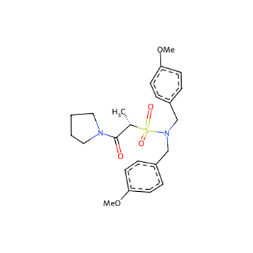 COc1ccc(CN(Cc2ccc(OC)cc2)S(=O)(=O)[C@@H](C)C(=O)N2CCCC2)cc1